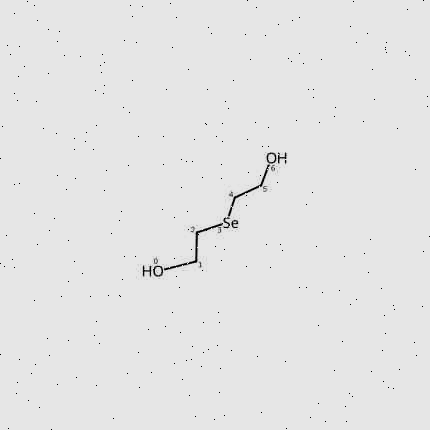 OCC[Se]CCO